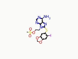 CS(=O)(=O)OCCn1c(Sc2cc3c(cc2I)OCO3)nc2c(N)ncnc21